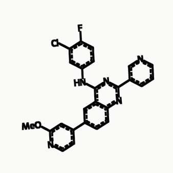 COc1cc(-c2ccc3nc(-c4cccnc4)nc(Nc4ccc(F)c(Cl)c4)c3c2)ccn1